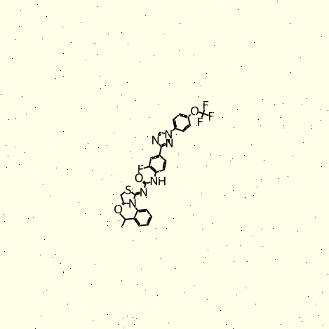 CC(C)c1ccccc1N1C(=O)CSC1=NC(=O)Nc1ccc(-c2ncn(-c3ccc(OC(F)(F)F)cc3)n2)cc1F